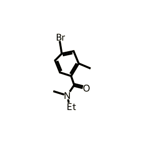 CCN(C)C(=O)c1ccc(Br)cc1C